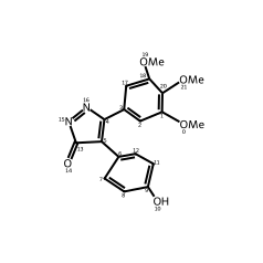 COc1cc(C2=C(c3ccc(O)cc3)C(=O)N=N2)cc(OC)c1OC